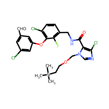 C[Si](C)(C)CCOCn1cnc(Cl)c1C(=O)NCc1ccc(Cl)c(Oc2cc(Cl)cc(C=O)c2)c1F